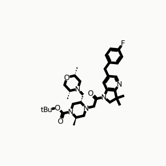 C[C@@H]1CN(C[C@H]2CN(C(=O)OC(C)(C)C)[C@H](C)CN2CC(=O)N2CC(C)(C)c3ncc(Cc4ccc(F)cc4)cc32)[C@H](C)CO1